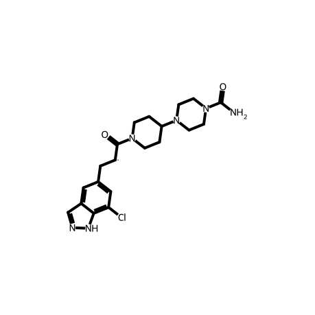 NC(=O)N1CCN(C2CCN(C(=O)[CH]Cc3cc(Cl)c4[nH]ncc4c3)CC2)CC1